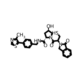 Cc1ncsc1-c1ccc(CNC(=O)[C@@H]2C[C@@H](O)CN2C(=O)C(CS)N2Cc3ccccc3C2=O)cc1